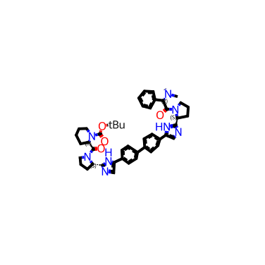 CN(C)[C@@H](C(=O)N1CCC[C@H]1c1ncc(-c2ccc(-c3ccc(-c4cnc([C@@H]5CCCN5C(=O)[C@H]5CCCCN5C(=O)OC(C)(C)C)[nH]4)cc3)cc2)[nH]1)c1ccccc1